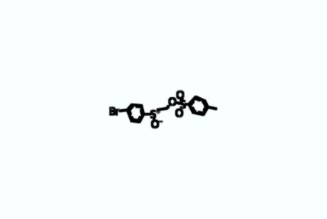 Cc1ccc(S(=O)(=O)OCC[S+]([O-])c2ccc(Br)cc2)cc1